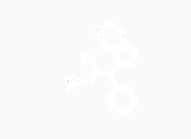 CNCC(O)C(c1ccccc1)n1ccc2ccncc21